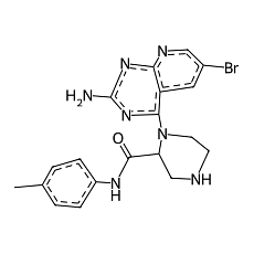 Cc1ccc(NC(=O)C2CNCCN2c2nc(N)nc3ncc(Br)cc23)cc1